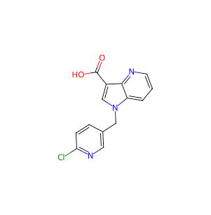 O=C(O)c1cn(Cc2ccc(Cl)nc2)c2cccnc12